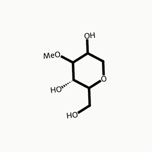 COC1C(O)COC(CO)[C@@H]1O